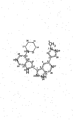 Cn1cc(-c2cc3c(-c4cc5c(N6CCCCC6)cncc5[nH]4)n[nH]c3cn2)cn1